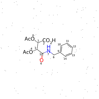 CC(=O)OC(C(=O)O)C(OC(C)=O)C(=O)NCc1ccccc1